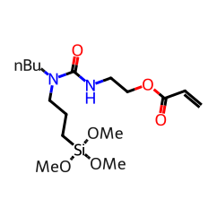 C=CC(=O)OCCNC(=O)N(CCCC)CCC[Si](OC)(OC)OC